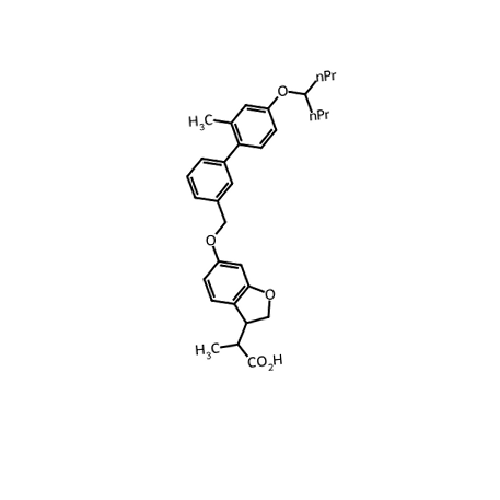 CCCC(CCC)Oc1ccc(-c2cccc(COc3ccc4c(c3)OCC4C(C)C(=O)O)c2)c(C)c1